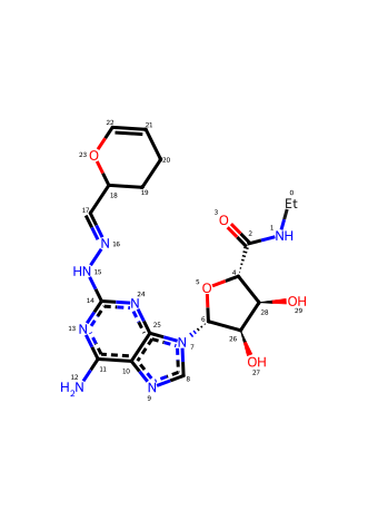 CCNC(=O)[C@H]1O[C@@H](n2cnc3c(N)nc(N/N=C/C4CCC=CO4)nc32)[C@H](O)[C@@H]1O